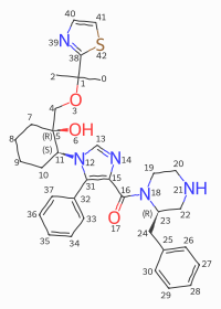 CC(C)(OC[C@@]1(O)CCCC[C@@H]1n1cnc(C(=O)N2CCNC[C@H]2Cc2ccccc2)c1-c1ccccc1)c1nccs1